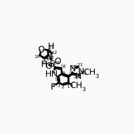 Cc1cc(F)c2[nH]c(S(=O)(=O)N3C[C@H]4C[C@@H]3CO4)cc2c1-c1ncn(C)n1